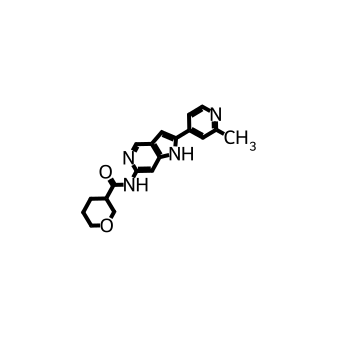 Cc1cc(-c2cc3cnc(NC(=O)C4CCCOC4)cc3[nH]2)ccn1